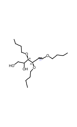 CCCCO/C=C/[C@@H](OCCCC)[C@H](OCCCC)C(O)CO